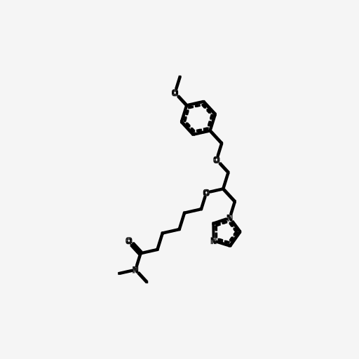 COc1ccc(COCC(Cn2ccnc2)OCCCCCC(=O)N(C)C)cc1